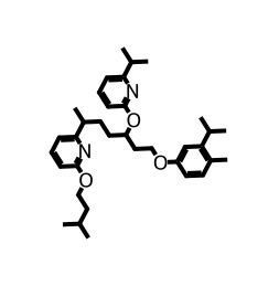 Cc1ccc(OCCC(CCC(C)c2cccc(OCCC(C)C)n2)Oc2cccc(C(C)C)n2)cc1C(C)C